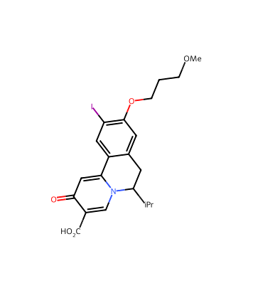 COCCCOc1cc2c(cc1I)-c1cc(=O)c(C(=O)O)cn1C(C(C)C)C2